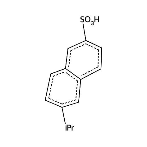 CC(C)c1ccc2cc(S(=O)(=O)O)ccc2c1